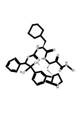 CCNC(=O)C(=O)[C@H](C[C@@H]1CCNC1=O)NC(=O)[C@H](CC1CCCCC1)NC(=O)OC(c1ccccc1)C(C)(C)c1cccc(Cl)c1